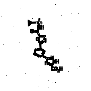 C[C@H](NC(=O)c1cnc(-c2cccc(-c3n[nH]c(C(=O)O)n3)c2)o1)C1CC1